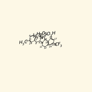 CS(=O)(=O)O.Cc1cccc(CC2C3CCc4cc(C(F)(F)F)ccc4C3CN2C)c1